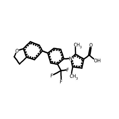 Cc1cc(C(=O)O)c(C)n1-c1ccc(-c2ccc3c(c2)CCO3)cc1C(F)(F)F